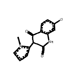 Cn1cccc1C1C(=O)Nc2cc(Cl)ccc2C1=O